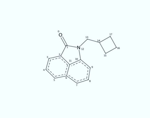 O=C1c2cccc3cccc(c23)N1CC1CCC1